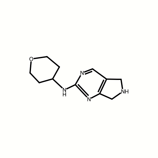 c1nc(NC2CCOCC2)nc2c1CNC2